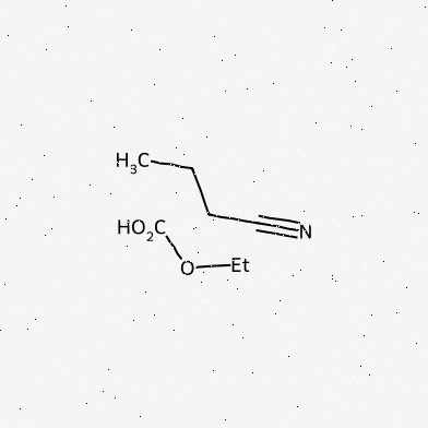 CCCC#N.CCOC(=O)O